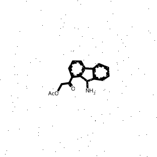 CC(=O)OCC(=O)c1cccc2c1C(N)c1ccccc1-2